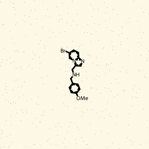 COc1ccc(CNCc2cnc3ccc(Br)cn23)cc1